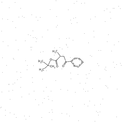 CC(CC(=O)c1ccccn1)C(=O)OC(C)(C)C